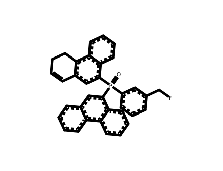 O=P(c1cccc(CF)c1)(c1cc2c(c3ccccc13)CCC=C2)c1cc2ccccc2c2ccccc12